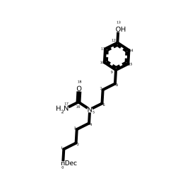 CCCCCCCCCCCCCCN(CCCc1ccc(O)cc1)C(N)=O